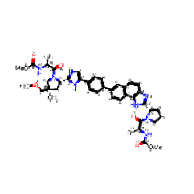 CCCCOC[C@]1(C)C[C@@H](c2ncc(-c3ccc(-c4ccc5c(ccc6nc([C@@H]7CCCN7C(=O)[C@@H](NC(=O)OC)C(C)C)[nH]c65)c4)cc3)[nH]2)N(C(=O)[C@@H](NC(=O)OC)C(C)C)C1